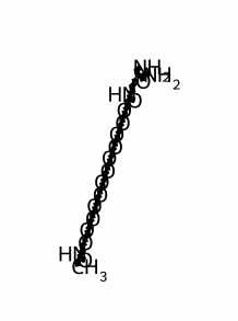 CCC(=O)NCCOCCOCCOCCOCCOCCOCCOCCOCCOCCOCCOCCOCCC(=O)NCCCC[C@H](CN)C(=O)CN